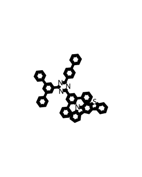 c1ccc(-c2ccc(-c3nc(-c4cc(-c5ccccc5)cc(-c5ccccc5)c4)nc(-c4cc(-c5ccccc5)c(-n5c6ccccc6c6cc7c(cc65)sc5ccccc57)c(-c5ccccc5)c4)n3)cc2)cc1